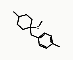 COC1(Cc2ccc(C)cc2)CCC(C)CC1